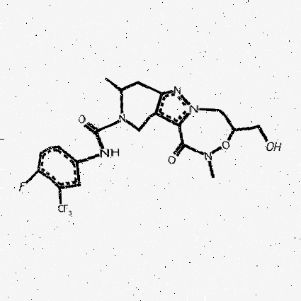 CC1Cc2nn3c(c2CN1C(=O)Nc1ccc(F)c(C(F)(F)F)c1)C(=O)N(C)OC(CO)C3